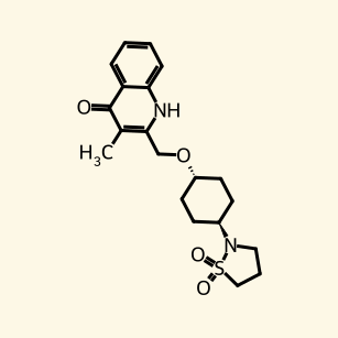 Cc1c(CO[C@H]2CC[C@H](N3CCCS3(=O)=O)CC2)[nH]c2ccccc2c1=O